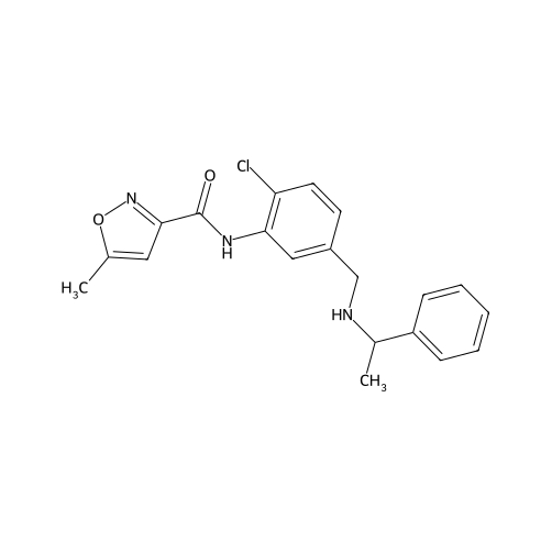 Cc1cc(C(=O)Nc2cc(CNC(C)c3ccccc3)ccc2Cl)no1